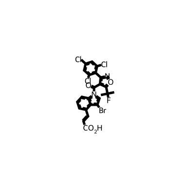 CC(C)(F)c1onc(-c2c(Cl)cc(Cl)cc2Cl)c1C(=O)n1cc(Br)c2c(/C=C/C(=O)O)cccc21